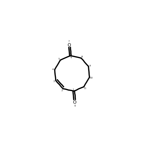 O=C1C=CCCC(=O)CCCC1